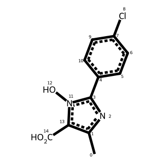 Cc1nc(-c2ccc(Cl)cc2)n(O)c1C(=O)O